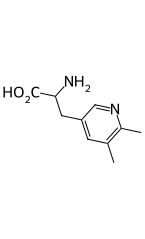 Cc1cc(CC(N)C(=O)O)cnc1C